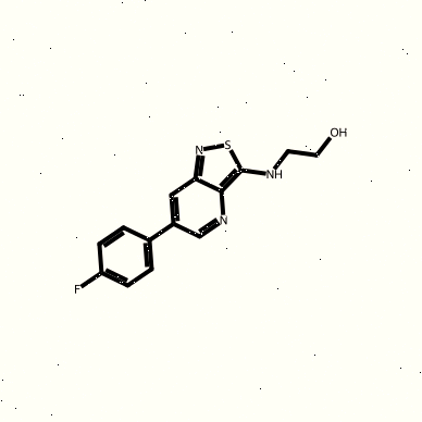 OCCNc1snc2cc(-c3ccc(F)cc3)cnc12